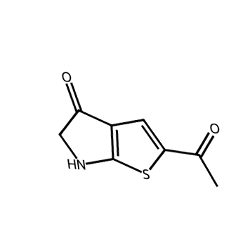 CC(=O)c1cc2c(s1)NCC2=O